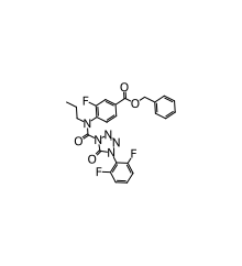 CCCN(C(=O)n1nnn(-c2c(F)cccc2F)c1=O)c1ccc(C(=O)OCc2ccccc2)cc1F